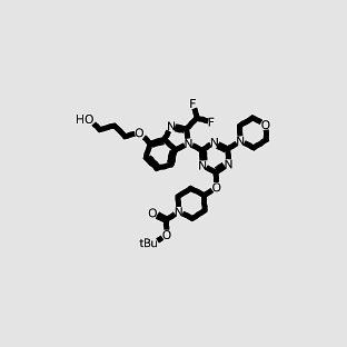 CC(C)(C)OC(=O)N1CCC(Oc2nc(N3CCOCC3)nc(-n3c(C(F)F)nc4c(OCCCO)cccc43)n2)CC1